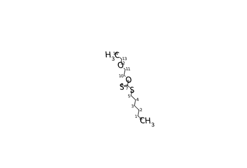 CCCCCCSC(=S)OCCOCC